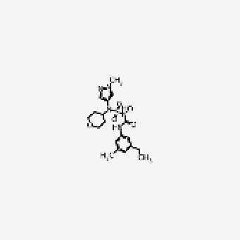 CCc1cc(C)cc(NC(=O)[NH+]([O-])S(=O)(=O)N(c2cnn(C)c2)C2CCOCC2)c1